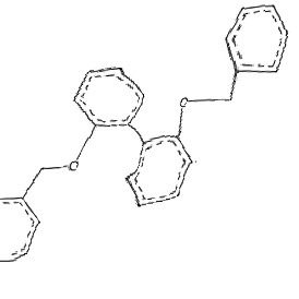 [c]1cccc(-c2ccccc2OCc2ccccc2)c1OCc1ccccc1